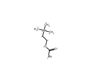 CCC(C)C(=O)OCC[N+](C)(C)C